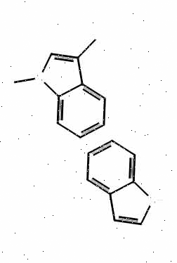 Cc1cn(C)c2ccccc12.c1ccc2[nH]ccc2c1